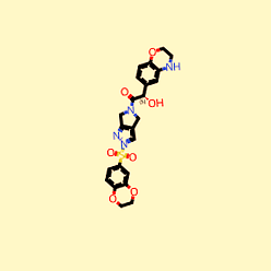 O=C([C@@H](O)c1ccc2c(c1)NCCO2)N1Cc2cn(S(=O)(=O)c3ccc4c(c3)OCCO4)nc2C1